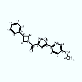 COc1ccc(-c2cc(C(=O)N3CC(c4ccccc4)C3)no2)nc1